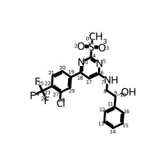 CS(=O)(=O)c1nc(NC[C@H](O)c2ccccc2)cc(-c2ccc(C(F)(F)F)c(Cl)c2)n1